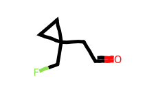 O=CCC1(CF)CC1